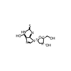 OC[C@@H]1O[C@@H](n2cnc3c(O)[nH]c(=S)nc32)C[C@H]1O